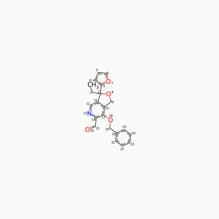 CCC1(c2ccco2)OCc2c1cnc(C=O)c2OCc1ccccc1